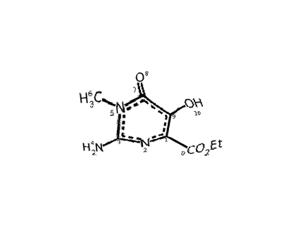 CCOC(=O)c1nc(N)n(C)c(=O)c1O